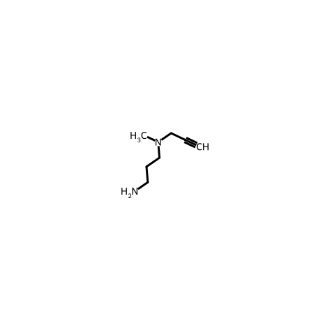 C#CCN(C)CCCN